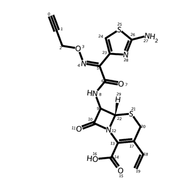 C#CCON=C(C(=O)NC1C(=O)N2C(C(=O)O)=C(C=C)CS[C@@H]12)c1csc(N)n1